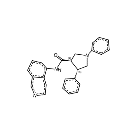 O=C(Nc1cccc2cnccc12)[C@H]1CN(c2ccccc2)C[C@@H]1c1ccccc1